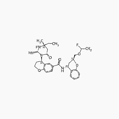 CC[C@]1(C)CC(=O)N([C@@H]2CCOc3ccc(C(=O)N[C@@H]4C[C@@H](COC(C)F)Oc5ccccc54)cc32)C(=N)N1